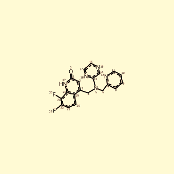 O=c1cc(CN(Cc2ccccn2)c2cnccn2)c2ccc(F)c(F)c2[nH]1